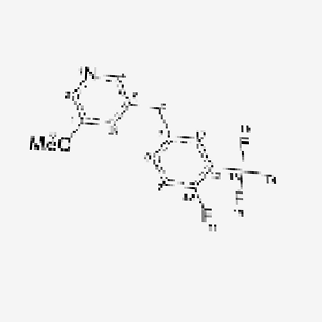 COc1cncc([CH]c2ccc(F)c(C(C)(F)F)c2)c1